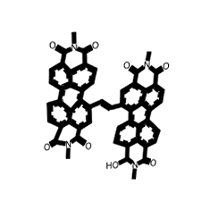 CN1C(=O)c2ccc3c4ccc5c6c(cc(/C=C/c7cc8c9c(ccc%10c%11ccc%12c%13c(ccc(c7c9%10)c%13%11)C(O)N(C)C%12=O)C(=O)N(C)C8=O)c(c7ccc(c2c37)C1=O)c64)C(=O)N(C)C5=O